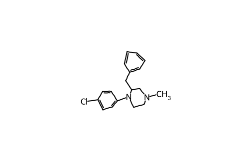 CN1CCN(c2ccc(Cl)cc2)C(Cc2ccccc2)C1